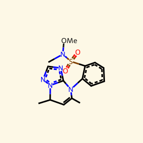 CON(C)S(=O)(=O)c1ccccc1N1C(C)=CC(C)n2ncnc21